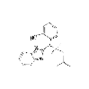 CC(C)CC(C)(C)C(c1ccccc1O)n1nc2ccccc2n1